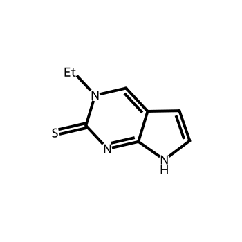 CCn1cc2cc[nH]c2nc1=S